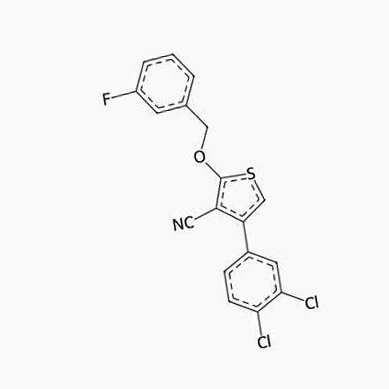 N#Cc1c(-c2ccc(Cl)c(Cl)c2)csc1OCc1cccc(F)c1